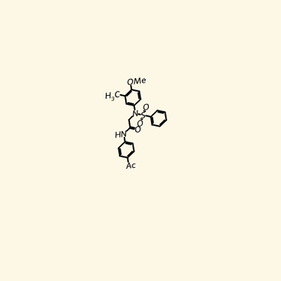 COc1ccc(N(CC(=O)Nc2ccc(C(C)=O)cc2)S(=O)(=O)c2ccccc2)cc1C